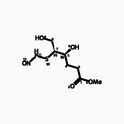 COC(=O)CC[C@H](O)[C@@H](CO)SPN=O